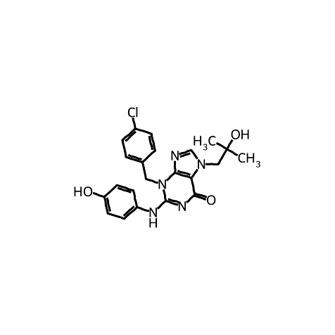 CC(C)(O)Cn1cnc2c1c(=O)nc(Nc1ccc(O)cc1)n2Cc1ccc(Cl)cc1